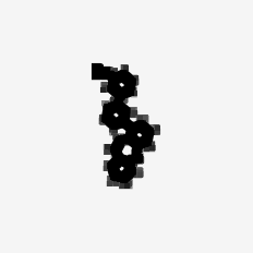 Brc1cccc(-c2cccc(-c3cccc4c3C=Cc3ccccc3S4)c2)c1